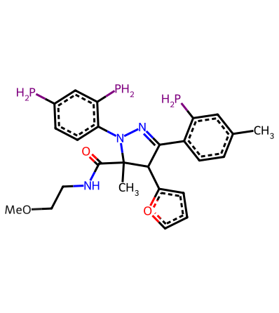 COCCNC(=O)C1(C)C(c2ccco2)C(c2ccc(C)cc2P)=NN1c1ccc(P)cc1P